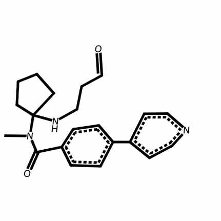 CN(C(=O)c1ccc(-c2ccncc2)cc1)C1(NCCC=O)CCCC1